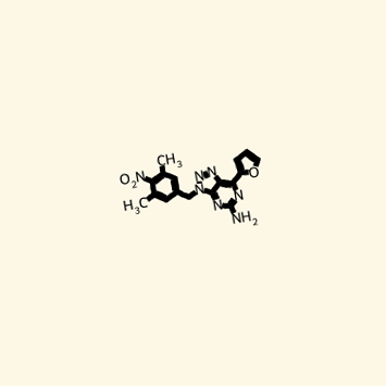 Cc1cc(Cn2nnc3c(-c4ccco4)nc(N)nc32)cc(C)c1[N+](=O)[O-]